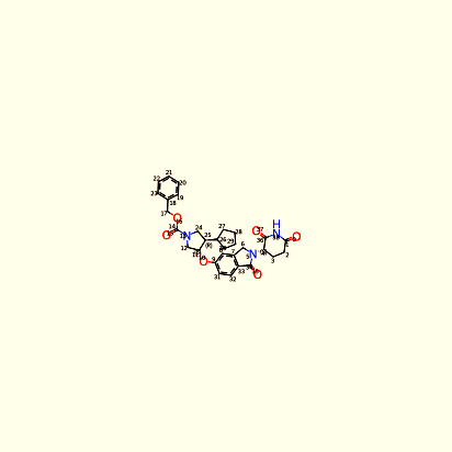 O=C1CC[C@H](N2Cc3cc(O[C@@H]4CN(C(=O)OCc5ccccc5)C[C@H]4C4CCCC4)ccc3C2=O)C(=O)N1